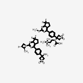 CSc1nc(-c2ccc(C3(N(CC[Si](C)(C)C)C(=O)O)CS(=O)(=O)C3)cc2)c2c(n1)C(F)(F)CC2.C[C@H]1[C@H](F)CN1c1nc(-c2ccc(C3(N)CS(=O)(=O)C3)cc2)c2c(n1)C(F)(F)CC2